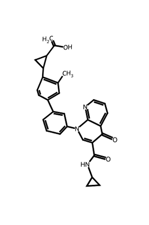 C=C(O)C1CC1c1ccc(-c2cccc(-n3cc(C(=O)NC4CC4)c(=O)c4cccnc43)c2)cc1C